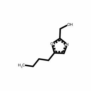 CCCCc1cnc(CO)o1